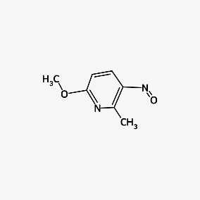 COc1ccc(N=O)c(C)n1